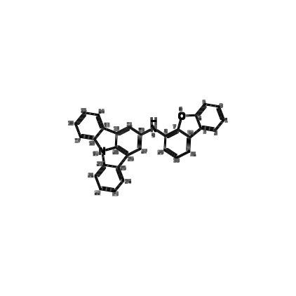 c1ccc2c(c1)oc1c(Nc3cc4c5ccccc5n5c6ccccc6c(c3)c45)cccc12